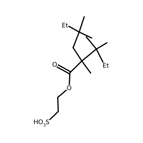 CCC(C)(C)CC(C)(C(=O)OCCS(=O)(=O)O)C(C)(C)CC